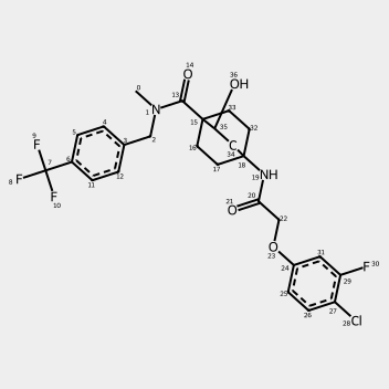 CN(Cc1ccc(C(F)(F)F)cc1)C(=O)C12CCC(NC(=O)COc3ccc(Cl)c(F)c3)(CC1)CC2O